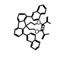 C=C(C)C(=O)OCCC1(CCOC(=O)C(=C)C)c2c(-c3ccc4ccccc4c3)cccc2-c2cccc(-c3ccc4ccccc4c3)c21